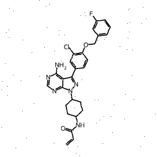 C=CC(=O)NC1CCC(n2nc(-c3ccc(OCc4cccc(F)c4)c(Cl)c3)c3c(N)ncnc32)CC1